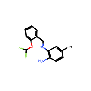 N#Cc1ccc(N)c(NCc2ccccc2OC(F)F)c1